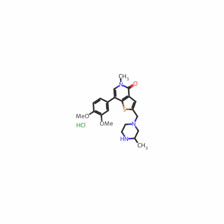 COc1ccc(-c2cn(C)c(=O)c3cc(CN4CCNC(C)C4)sc23)cc1OC.Cl